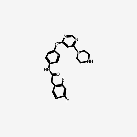 O=C(Cc1ccc(F)cc1F)Nc1ccc(Oc2cc(N3CCNCC3)ncn2)cc1